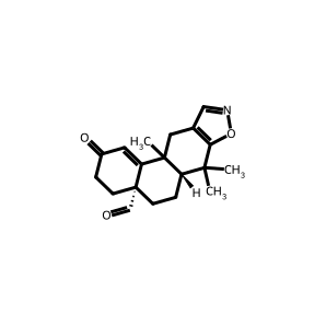 CC12Cc3cnoc3C(C)(C)[C@@H]1CC[C@@]1(C=O)CCC(=O)C=C21